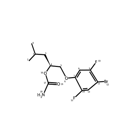 CC(C)C[C@@H](COc1cc(F)c(Br)cc1F)OC(N)=O